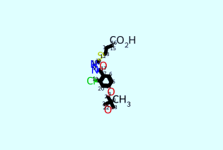 CC1(COc2ccc(-c3nnc(SCCCC(=O)O)o3)c(Cl)c2)COC1